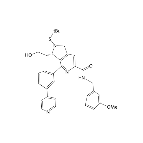 COc1cccc(CNC(=O)c2cc3c(c(-c4cccc(-c5ccncc5)c4)n2)[C@H](CCO)N(SC(C)(C)C)C3)c1